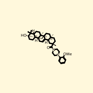 COc1ccccc1N1CCN(C(=O)[C@@]2(C)CC[C@]3(C)CC[C@]4(C)C(=CC[C@@H]5[C@@]6(C)CC[C@H](O)C(C)(C)[C@@H]6CC[C@]54C)[C@@H]3C2)CC1